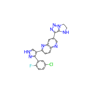 Fc1ccc(Cl)cc1-c1n[nH]cc1-c1ccc2ncc(-c3nnn4c3NCC4)cc2n1